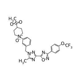 Cc1nc(-c2nc(-c3ccc(OC(F)(F)F)cc3)no2)nn1Cc1cccc([N+]2([O-])CCC(S(C)(=O)=O)CC2)c1